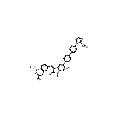 COc1ccc(C=C2C(=O)Nc3cc(Cl)c(-c4ccc(-c5ccc(-n6ccnc6C)cc5)cc4)cc32)cc1CC(=O)O